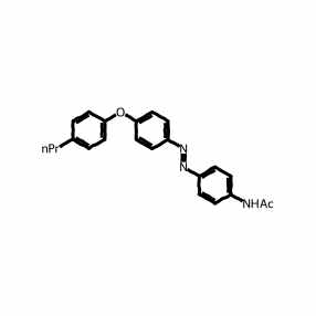 CCCc1ccc(Oc2ccc(N=Nc3ccc(NC(C)=O)cc3)cc2)cc1